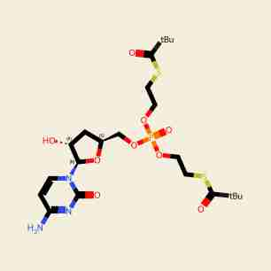 CC(C)(C)C(=O)SCCOP(=O)(OCCSC(=O)C(C)(C)C)OC[C@@H]1C[C@@H](O)[C@H](n2ccc(N)nc2=O)O1